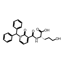 O=C(N[C@@H](CCCO)C(=O)O)c1cccn(C(c2ccccc2)c2ccccc2)c1=O